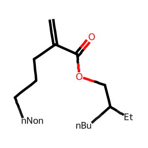 C=C(CCCCCCCCCCCC)C(=O)OCC(CC)CCCC